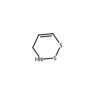 C1=CSSNC1